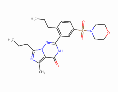 CCCc1ccc(S(=O)(=O)N2CCOCC2)cc1-c1nn2c(CCC)nc(C)c2c(=O)[nH]1